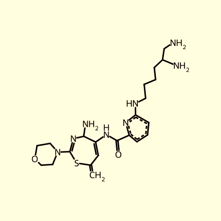 C=C1C=C(NC(=O)c2cccc(NCCCCC(N)CN)n2)C(N)N=C(N2CCOCC2)S1